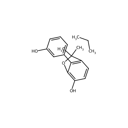 CC1(C)Oc2c(O)ccc1c2-c1cccc(O)c1.CCC